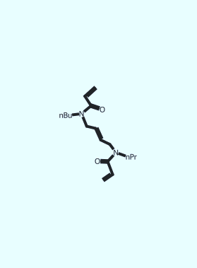 C=CC(=O)N(C/C=C/CN(CCCC)C(=O)C=C)CCC